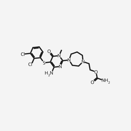 Cn1c(N2CCCN(CCOC(N)=O)CC2)nc(N)c(Sc2cccc(Cl)c2Cl)c1=O